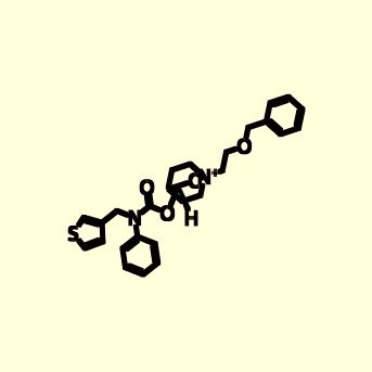 O=C(O[C@H]1C[N+]2(CCOCc3ccccc3)CCC1CC2)N(Cc1ccsc1)c1ccccc1